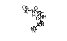 Cc1cc(C(=O)NCCN2CCOCC23CC3)sc1NC(=O)c1cnn2cc(-c3cnn(C)c3)sc12